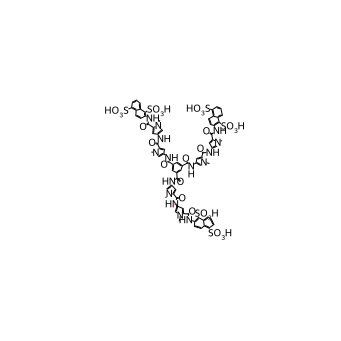 Cn1cc(NC(=O)c2cc(C(=O)Nc3cc(C(=O)Nc4cc(C(=O)Nc5ccc6c(S(=O)(=O)O)cccc6c5S(=O)(=O)O)n(C)c4)n(C)c3)cc(C(=O)Nc3cc(C(=O)Nc4cc(C(=O)Nc5ccc6c(S(=O)(=O)O)cccc6c5S(=O)(=O)O)n(C)c4)n(C)c3)c2)cc1C(=O)Nc1cc(C(=O)Nc2ccc3c(S(=O)(=O)O)cccc3c2S(=O)(=O)O)n(C)c1